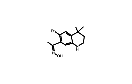 CCc1cc2c(cc1/C(C)=N\O)NCCC2(C)C